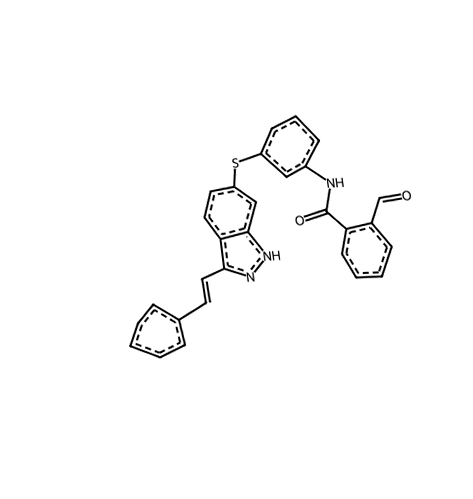 O=Cc1ccccc1C(=O)Nc1cccc(Sc2ccc3c(C=Cc4ccccc4)n[nH]c3c2)c1